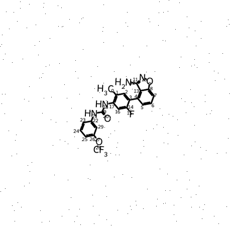 Cc1cc(-c2cccc3onc(N)c23)c(F)cc1NC(=O)Nc1cccc(OC(F)(F)F)c1